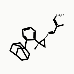 CCOC(=O)C=C(C)C=C[C@@H]1C[C@]1(C)c1ccccc1C12CC3CC(CC(C3)C1)C2